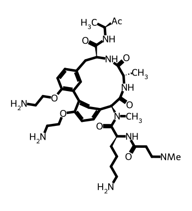 CNCCC(=O)N[C@@H](CCCCN)C(=O)N(C)[C@@H]1C(=O)N[C@@H](C)C(=O)N[C@H](C(=O)N[C@@H](C)C(C)=O)Cc2ccc(OCCN)c(c2)-c2cc1ccc2OCCN